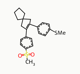 CSc1ccc(C2=C(c3ccc(S(C)(=O)=O)cc3)CC3(CCCC3)C2)cc1